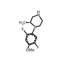 COc1cc(F)c(N2CCNC[C@@H]2C)cc1F